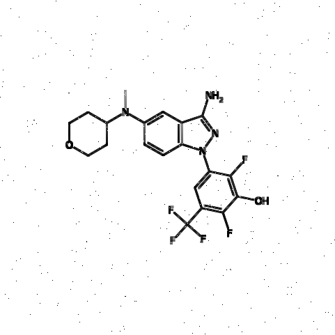 CN(c1ccc2c(c1)c(N)nn2-c1cc(C(F)(F)F)c(F)c(O)c1F)C1CCOCC1